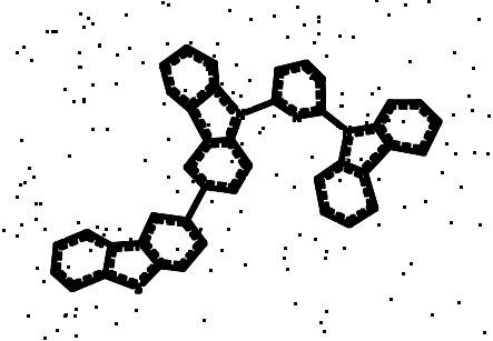 c1cc(-n2c3ccccc3c3ccccc32)nc(-n2c3ccccc3c3cc(-c4ccc5sc6ccccc6c5c4)ccc32)c1